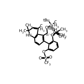 C=CC[C@@H](O[Si](C)(C)C(C)(C)C)c1c(-c2c(O[Si](C)(C)C(C)(C)C)cccc2OS(=O)(=O)C(F)(F)F)ccc2c1C(C)=CC(C)(C)N2